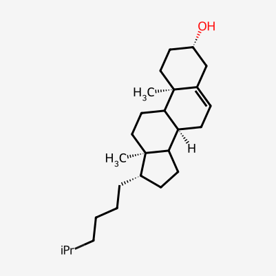 CC(C)CCCC[C@H]1CCC2[C@@H]3CC=C4C[C@@H](O)CC[C@]4(C)C3CC[C@@]21C